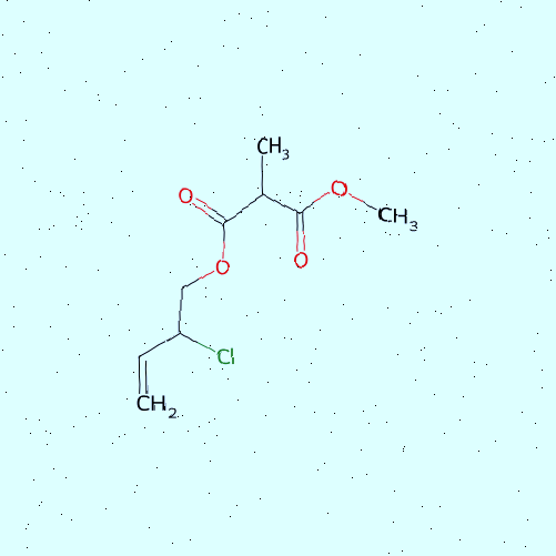 C=CC(Cl)COC(=O)C(C)C(=O)OC